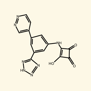 O=c1c(O)c(Nc2cc(-c3ccnnc3)cc(-c3nn[nH]n3)c2)c1=O